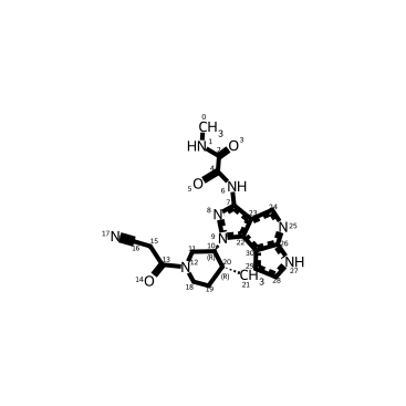 CNC(=O)C(=O)Nc1nn([C@H]2CN(C(=O)CC#N)CC[C@H]2C)c2c1cnc1[nH]ccc12